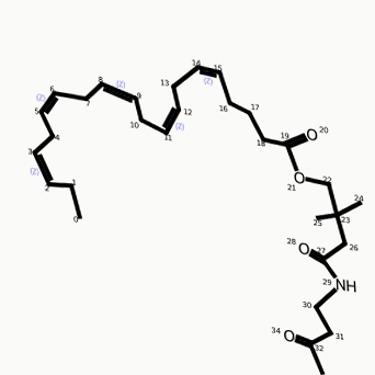 CC/C=C\C/C=C\C/C=C\C/C=C\C/C=C\CCCC(=O)OCC(C)(C)CC(=O)NCCC(C)=O